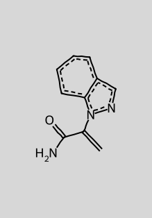 C=C(C(N)=O)n1ncc2ccccc21